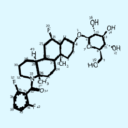 C[C@]12CC[C@H](O[C@@H]3O[C@H](CO)[C@@H](O)[C@H](O)[C@H]3O)CC1[C@H](F)CC1C2CC[C@@]2(C)[C@H]1CCCN2C(=O)c1c(F)cccc1F